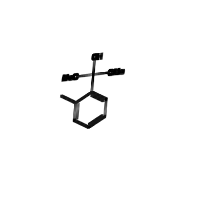 COC(O)(OC)c1ccccc1C